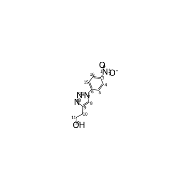 O=[N+]([O-])c1ccc(-n2cc(CCO)nn2)cc1